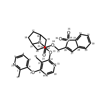 Cc1ncccc1Oc1ncnc(OC2CC3CCC(C2)N3C(=O)OCC2=Cc3ccccc3S2(=O)=O)c1C